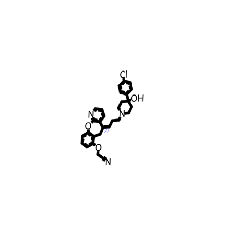 N#CCOc1cccc2c1C/C(=C/CCN1CCC(O)(c3ccc(Cl)cc3)CC1)c1cccnc1O2